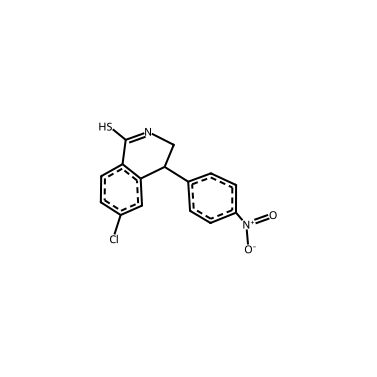 O=[N+]([O-])c1ccc(C2CN=C(S)c3ccc(Cl)cc32)cc1